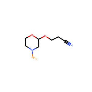 N#CCCOC1CN(P)CCO1